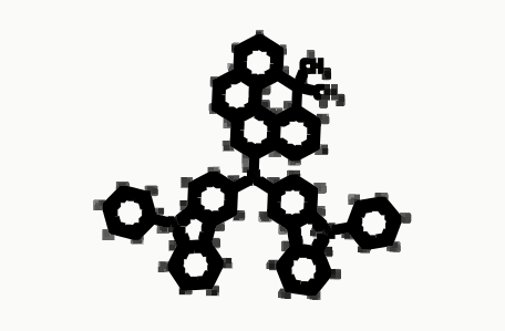 CC1(C)c2cccc3ccc4cc(N(c5ccc6c(c5)c5ccccc5n6-c5ccccc5)c5ccc6c(c5)c5ccccc5n6-c5ccccc5)c5cccc1c5c4c23